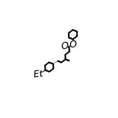 CC[C@H]1CC[C@H](CCC(C)CCC(=O)OC2CCCCC2)CC1